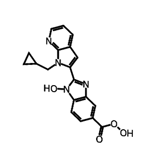 O=C(OO)c1ccc2c(c1)nc(-c1cc3cccnc3n1CC1CC1)n2O